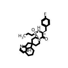 CCCS(=O)(=O)N[C@@H](Cc1ccc(F)cc1)C(=O)N1CCC(Cc2ncc[nH]2)(C2CCCCC2)CC1